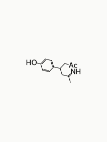 CC(=N)CC(CC(C)=O)c1ccc(O)cc1